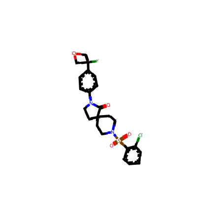 O=C1N(c2ccc(C3(F)COC3)cc2)CCC12CCN(S(=O)(=O)c1ccccc1Cl)CC2